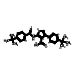 CC(C)(C)c1ccc(C(=O)Nc2scc(-c3ccc(C(C)(C)C)cc3)c2C(=O)O)cc1